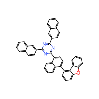 c1ccc2cc(-c3nc(-c4ccc5ccccc5c4)nc(-c4ccc(-c5cccc6oc7ccccc7c56)c5ccccc45)n3)ccc2c1